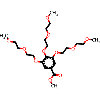 COCCOCCOc1cc(C(=O)OC)cc(OCCOCCOC)c1OCCOCCOC